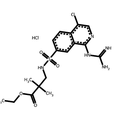 CCOC(=O)C(C)(C)CNS(=O)(=O)c1ccc2c(Cl)cnc(NC(=N)N)c2c1.Cl